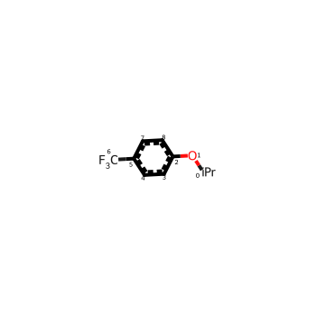 [CH2]C(C)Oc1ccc(C(F)(F)F)cc1